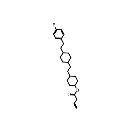 C=CCC(=O)OC1CCC(CCC2CCC(CCc3ccc(F)cc3)CC2)CC1